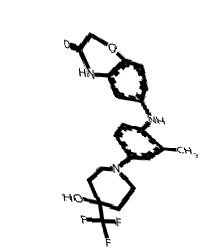 Cc1cc(N2CCC(O)(C(F)(F)F)CC2)ccc1Nc1ccc2c(c1)NC(=O)CO2